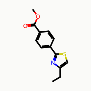 CCc1csc(-c2ccc(C(=O)OC)cc2)n1